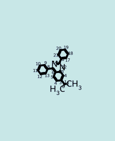 CC(C)c1ccc2c(-c3ccccc3)nc(-c3ccccc3)nc2c1